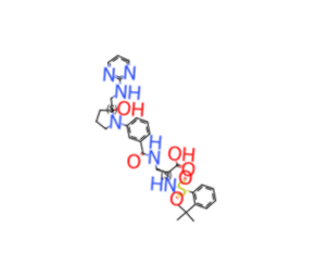 CC(C)(C)c1ccccc1S(=O)(=O)N[C@@H](CNC(=O)c1cccc(N2CCC[C@]2(O)CNc2ncccn2)c1)C(=O)O